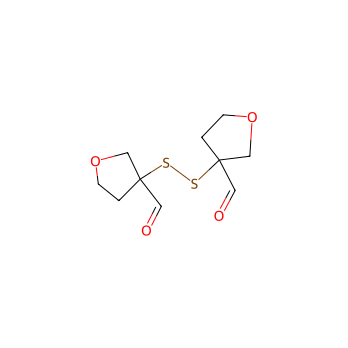 O=CC1(SSC2(C=O)CCOC2)CCOC1